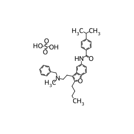 CCCCc1oc2ccc(NC(=O)c3ccc(C(C)C)cc3)cc2c1CCN(C)Cc1ccccc1.O=S(=O)(O)O